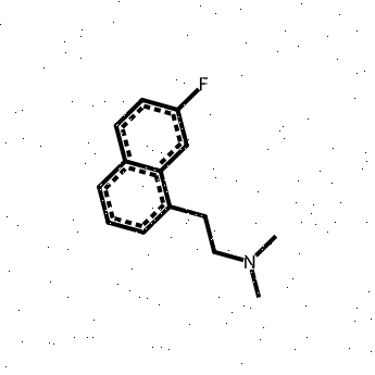 CN(C)CCc1cccc2ccc(F)cc12